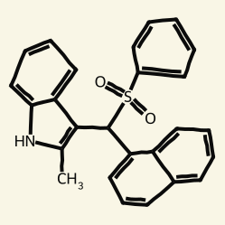 Cc1[nH]c2ccccc2c1C(c1cccc2ccccc12)S(=O)(=O)c1ccccc1